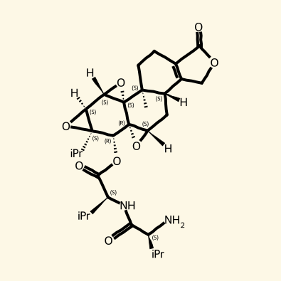 CC(C)[C@H](N)C(=O)N[C@H](C(=O)O[C@@H]1[C@@]2(C(C)C)O[C@H]2[C@@H]2O[C@]23[C@]12O[C@H]2C[C@H]1C2=C(CC[C@@]13C)C(=O)OC2)C(C)C